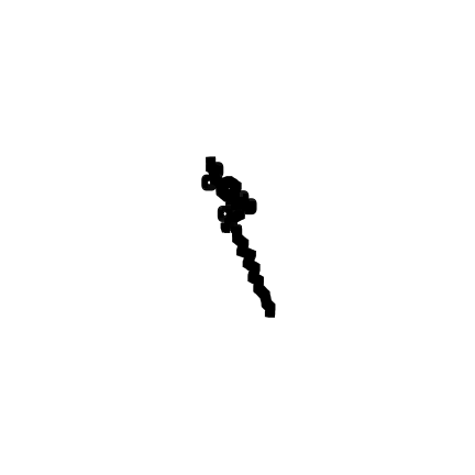 CCCCCCCCCCCCCCN(C)C(=O)CS(=O)(=O)Oc1ccc(C(=O)OCC)cc1